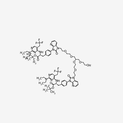 CCN(CC)c1ncc(CC(F)(F)F)c(N[C@@H](Cc2ccc(-n3c(=O)n(CCOCCOCC(COCCO)OCCOCCn4c(=O)n(-c5ccc(C[C@H](Nc6nc(N(CC)CC)ncc6CC(F)(F)F)C(=O)OC(C)(C)C)cc5)c5ncccc54)c4cccnc43)cc2)C(=O)OC(C)(C)C)n1